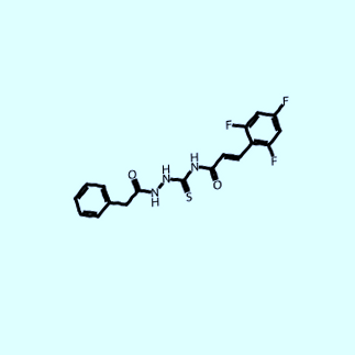 O=C(C=Cc1c(F)cc(F)cc1F)NC(=S)NNC(=O)Cc1ccccc1